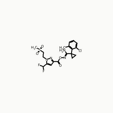 Cc1cccc(Cl)c1C1(/C(N)=N/OC(=O)c2cc(C(F)F)n(CCS(C)(=O)=O)n2)CC1